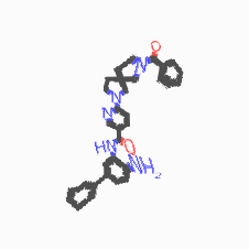 Nc1ccc(-c2ccccc2)cc1NC(=O)c1ccc(N2CCC3(CCN(C(=O)c4ccccc4)C3)C2)nc1